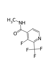 CNC(=O)c1ccnc(C(F)(F)F)c1F